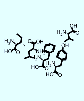 CC(C)C[C@H](N)C(=O)O.CC(C)[C@H](N)C(=O)O.CC[C@H](C)[C@H](N)C(=O)O.N[C@@H](Cc1ccc(O)cc1)C(=O)O.N[C@@H](Cc1ccccc1)C(=O)O